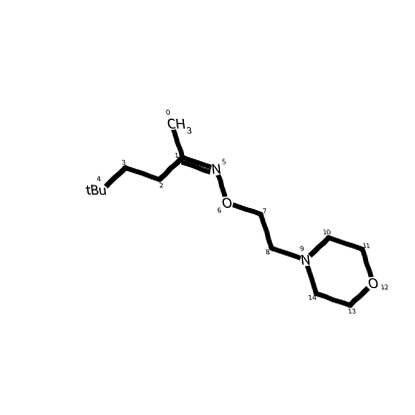 C/C(CCC(C)(C)C)=N/OCCN1CCOCC1